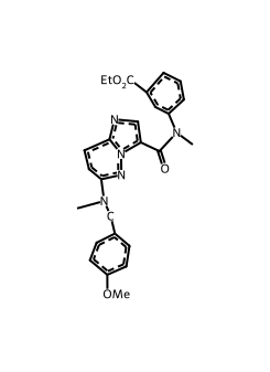 CCOC(=O)c1cccc(N(C)C(=O)c2cnc3ccc(N(C)Cc4ccc(OC)cc4)nn23)c1